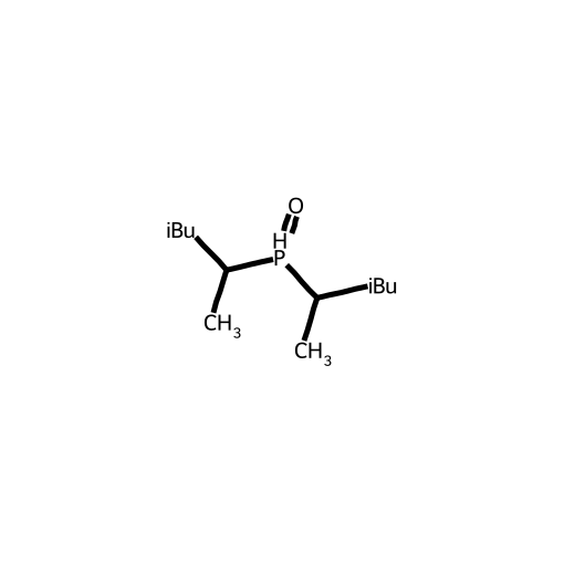 CCC(C)C(C)[PH](=O)C(C)C(C)CC